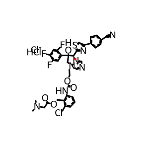 C[C@@H](c1nc(-c2ccc(C#N)cc2)cs1)[C@](O)(C[N+]1(CCOC(=O)Nc2cccc(Cl)c2COC(=O)CN(C)C)C=NC=N1)c1cc(F)c(F)cc1F.Cl.[Cl-]